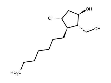 O=C(O)CCCCCC[C@@H]1[C@@H](CO)[C@H](O)C[C@H]1Cl